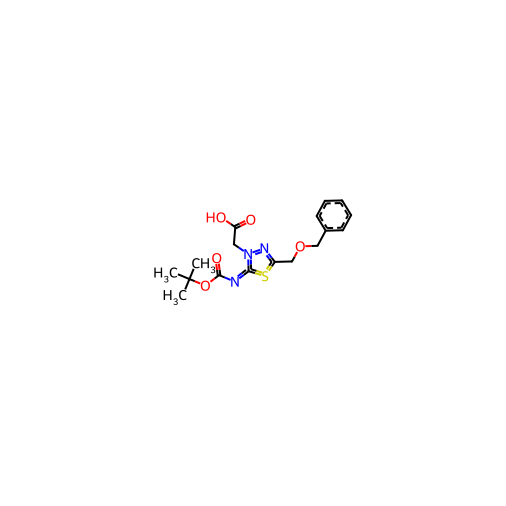 CC(C)(C)OC(=O)N=c1sc(COCc2ccccc2)nn1CC(=O)O